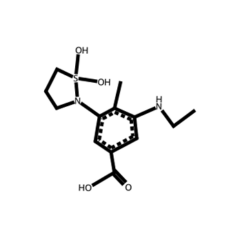 CCNc1cc(C(=O)O)cc(N2CCCS2(O)O)c1C